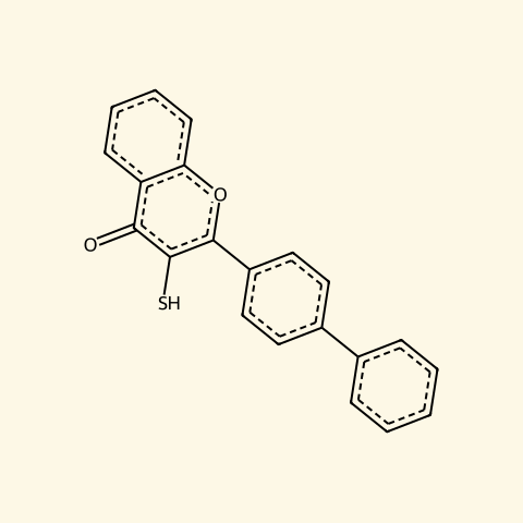 O=c1c(S)c(-c2ccc(-c3ccccc3)cc2)oc2ccccc12